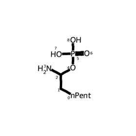 CCCCCCC(N)OP(=O)(O)O